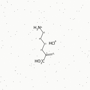 C=C(CCCCN)C(=O)O.Cl